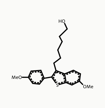 COc1ccc(-c2sc3cc(OC)ccc3c2CCCCCCO)cc1